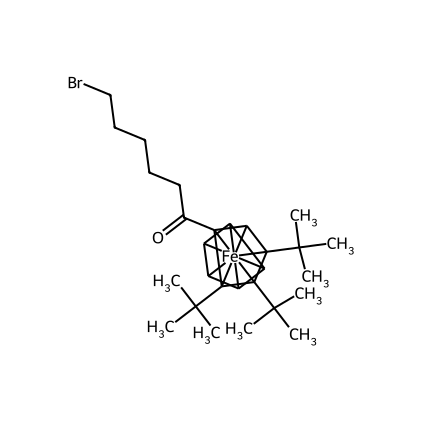 CC(C)(C)[C]12[CH]3[C]4(C(=O)CCCCCBr)[C]5(C(C)(C)C)[C]1(C(C)(C)C)[Fe]34251678[CH]2[CH]1[CH]6[CH]7[CH]28